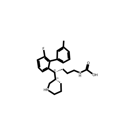 Cc1cccc(-c2c(F)cccc2[C@H](CCCNC(=O)O)[C@@H]2CCCNC2)c1